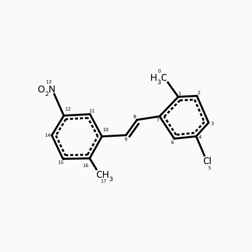 Cc1ccc(Cl)cc1/C=C/c1cc([N+](=O)[O-])ccc1C